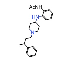 CC(=O)Nc1ccccc1NC1CCN(CCC(C)c2ccccc2)CC1